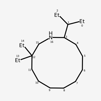 CCC(CC)C1CCCCCCCCC(CC)(CC)CN1